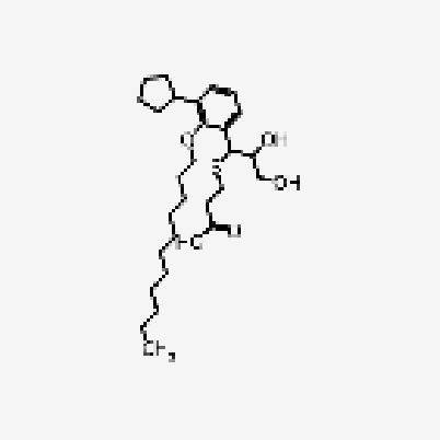 CCCCCCCCCCCOc1c(C2CCCC2)cccc1C(SCCC(=O)O)C(O)CO